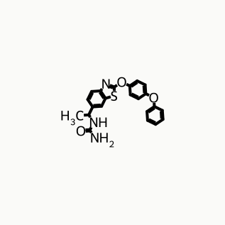 CC(NC(N)=O)c1ccc2nc(Oc3ccc(Oc4ccccc4)cc3)sc2c1